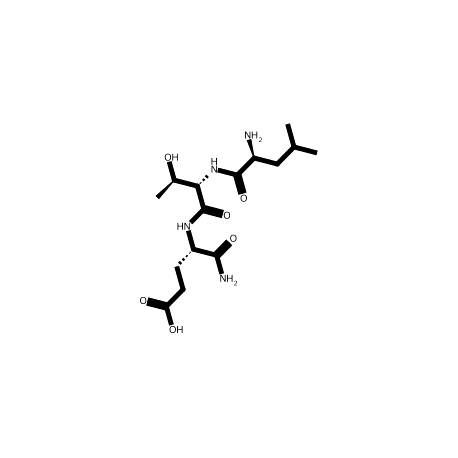 CC(C)C[C@H](N)C(=O)N[C@H](C(=O)N[C@@H](CCC(=O)O)C(N)=O)[C@@H](C)O